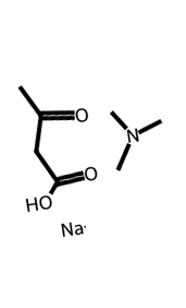 CC(=O)CC(=O)O.CN(C)C.[Na]